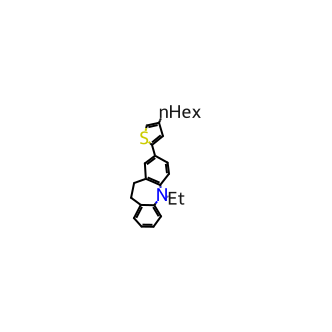 CCCCCCc1csc(-c2ccc3c(c2)CCc2ccccc2N3CC)c1